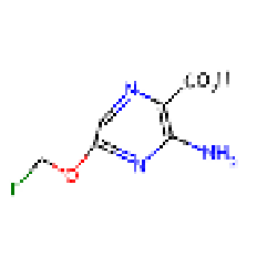 Nc1nc(OCF)cnc1C(=O)O